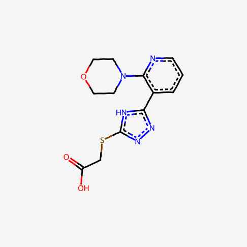 O=C(O)CSc1nnc(-c2cccnc2N2CCOCC2)[nH]1